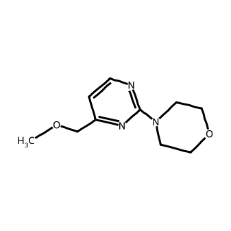 COCc1ccnc(N2CCOCC2)n1